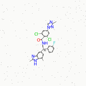 Cc1ncn(-c2cc(Cl)c(C(=O)NC[C@@H](c3cccc(F)c3)c3cc(C)c4[nH]c(C)nc4c3)c(Cl)c2)n1